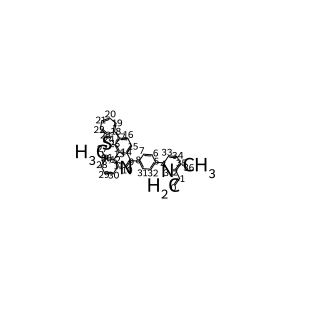 C=Cc1nc(-c2ccc(-c3nc4c(c5c3ccc3c6ccccc6sc35)[C@H](C)CC=C4)cc2)ccc1C